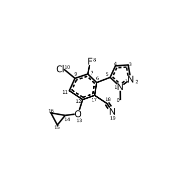 Cn1nccc1-c1c(F)c(Cl)cc(OC2CC2)c1C#N